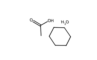 C1CCCCC1.CC(=O)O.O